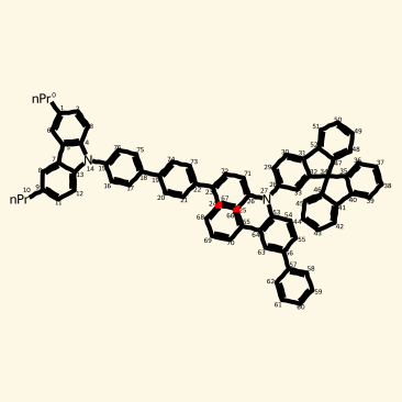 CCCc1ccc2c(c1)c1cc(CCC)ccc1n2-c1ccc(-c2ccc(-c3ccc(N(c4ccc5c(c4)C4(c6ccccc6-c6ccccc64)c4ccccc4-5)c4ccc(-c5ccccc5)cc4-c4ccccc4)cc3)cc2)cc1